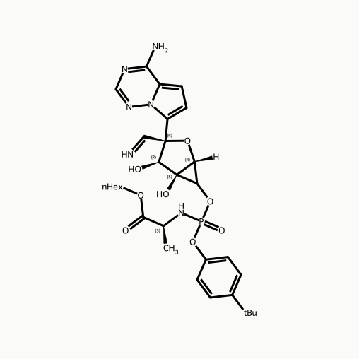 CCCCCCOC(=O)[C@H](C)NP(=O)(Oc1ccc(C(C)(C)C)cc1)OC1[C@H]2O[C@@](C=N)(c3ccc4c(N)ncnn34)[C@H](O)[C@@]12O